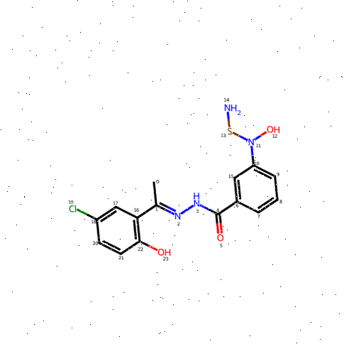 C/C(=N\NC(=O)c1cccc(N(O)SN)c1)c1cc(Cl)ccc1O